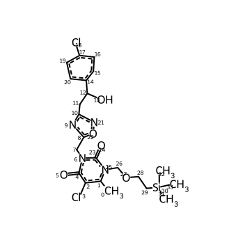 Cc1c(Cl)c(=O)n(Cc2nc(CC(O)c3ccc(Cl)cc3)no2)c(=O)n1COCC[Si](C)(C)C